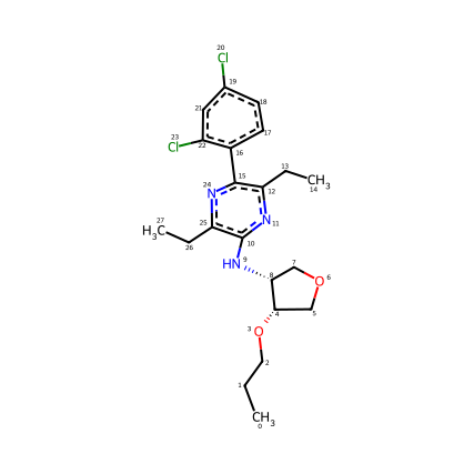 CCCO[C@H]1COC[C@H]1Nc1nc(CC)c(-c2ccc(Cl)cc2Cl)nc1CC